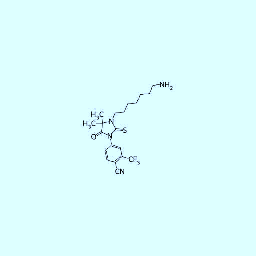 CC1(C)C(=O)N(c2ccc(C#N)c(C(F)(F)F)c2)C(=S)N1CCCCCCCN